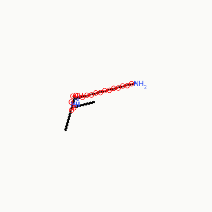 CCCCCCCCCCCCCCOCC(CNC(=O)CC[C@H](NC(=O)CCOCCOCCOCCOCCOCCOCCOCCOCCOCCOCCOCCOCCN)C(=O)O)OCCCCCCCCCCCCCC